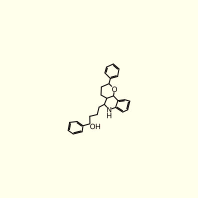 OC(CCCC1Nc2ccccc2C2OC(c3ccccc3)CCC12)c1ccccc1